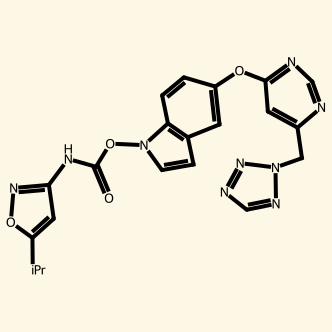 CC(C)c1cc(NC(=O)On2ccc3cc(Oc4cc(Cn5ncnn5)ncn4)ccc32)no1